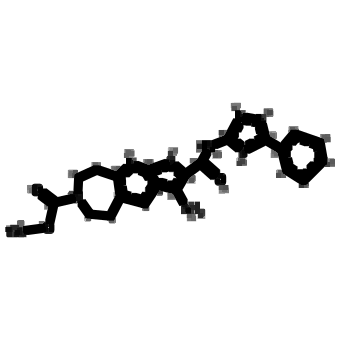 CC(C)(C)OC(=O)N1CCc2cc3c(N)c(C(=O)Nc4nnc(-c5ccccc5)s4)sc3nc2CC1